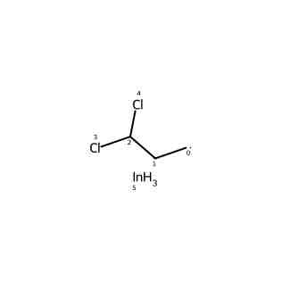 [CH2]CC(Cl)Cl.[InH3]